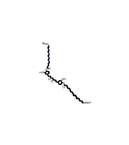 CCCCCCCCC/C=C/C=C/C=C/C=C/C=C/C=C/C(=O)Oc1ccc(/C=C/C(=O)CC(=O)/C=C/c2ccc(OC(=O)/C=C/C=C/C=C/C=C/C=C/C=C/CCCCCCCCC)c(O)c2)cc1O